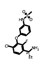 CC[C@@H](N)c1ccc(Cl)c(Oc2cccc(NS(C)(=O)=O)c2)c1F